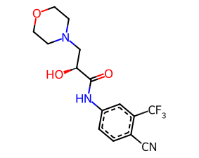 N#Cc1ccc(NC(=O)[C@@H](O)CN2CCOCC2)cc1C(F)(F)F